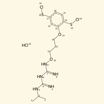 CC(C)NC(=N)NC(=N)NOCCCOc1cc(SCl)ccc1SCl.Cl